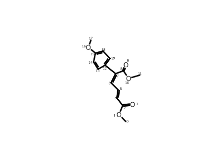 COC(=O)C=CC=C(C(=O)OC)c1ccc(OC)cc1